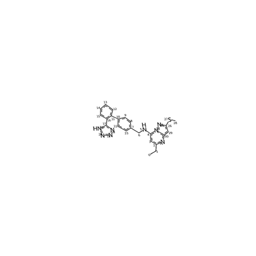 CCc1cc(NCc2ccc(-c3ccccc3-c3nnn[nH]3)cc2)n2nc(SC)cc2n1